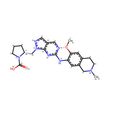 COc1cc2c(cc1Nc1ncc3cnn(C[C@H]4CCCN4C(=O)O)c3n1)CN(C)CC2